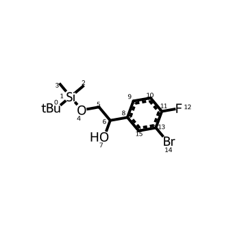 CC(C)(C)[Si](C)(C)OCC(O)c1ccc(F)c(Br)c1